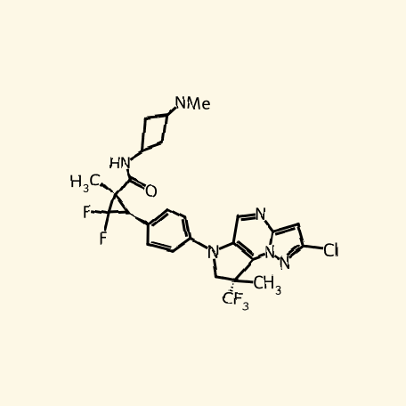 CNC1CC(NC(=O)[C@]2(C)[C@@H](c3ccc(N4C[C@@](C)(C(F)(F)F)c5c4cnc4cc(Cl)nn54)cc3)C2(F)F)C1